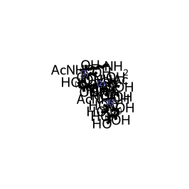 CC(=O)N/C(=C(\O[C@@H]1O[C@@H]([C@@H](CO)OC(O)/C(NC(C)=O)=C(/O[C@@H]2O[C@@H]([C@@H](CO)OC(O)/C(NC(C)=O)=C(\O[C@@H]3O[C@@H]([C@H](O)CO)C(O)C[C@@H]3O)C(O)CCO)C(O)C[C@@H]2O)C(O)CCO)C(O)C[C@@H]1O)C(O)CCO)C(O)OCCCCCN